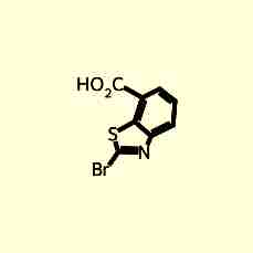 O=C(O)c1cccc2nc(Br)sc12